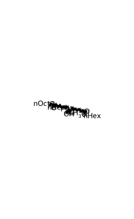 CCCCCCCCC(CCCCCCC)OC(=O)CCCCCCCN(CCCCCCCC(=O)OCCCCCC)C(C)CO